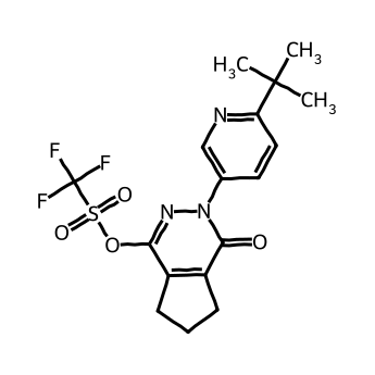 CC(C)(C)c1ccc(-n2nc(OS(=O)(=O)C(F)(F)F)c3c(c2=O)CCC3)cn1